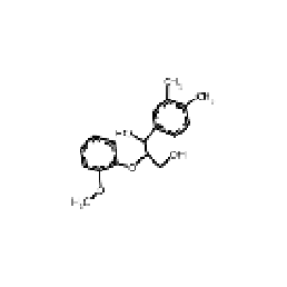 COc1ccccc1OC(CO)C(O)c1ccc(C)c(C)c1